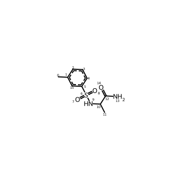 Cc1cccc(S(=O)(=O)NC(C)C(N)=O)c1